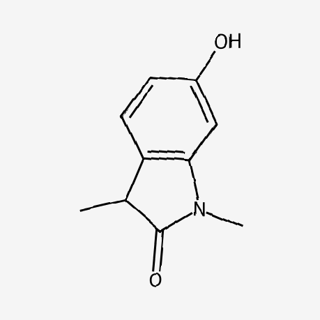 CC1C(=O)N(C)c2cc(O)ccc21